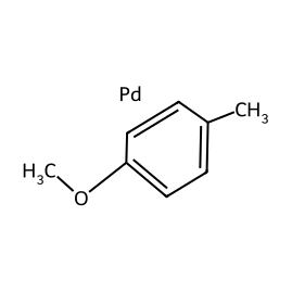 COc1ccc(C)cc1.[Pd]